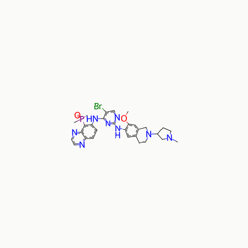 COc1cc2c(cc1Nc1ncc(Br)c(Nc3ccc4nccnc4c3P(C)(C)=O)n1)CCN(C1CCN(C)C1)C2